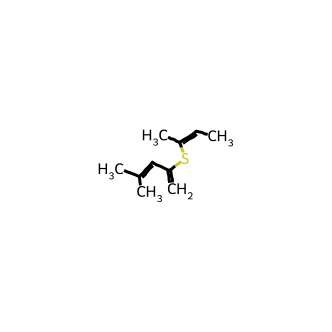 C=C(C=C(C)C)S/C(C)=C\C